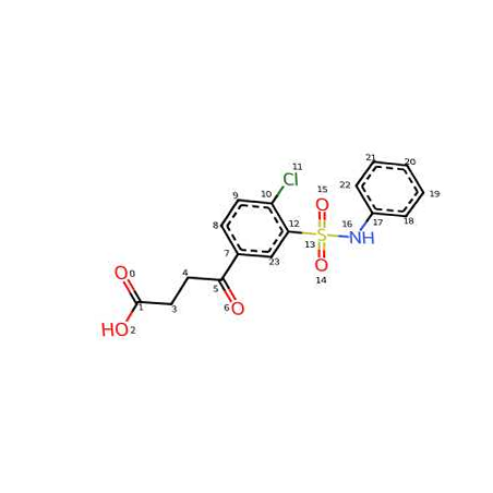 O=C(O)CCC(=O)c1ccc(Cl)c(S(=O)(=O)Nc2ccccc2)c1